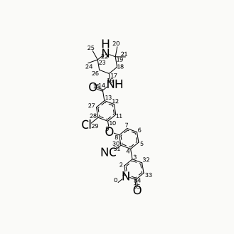 Cn1cc(-c2cccc(Oc3ccc(C(=O)NC4CC(C)(C)NC(C)(C)C4)cc3Cl)c2C#N)ccc1=O